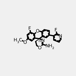 COc1cc(F)c2c(c1)[C@]1(CCOC(N)=N1)c1cc(-c3cccnc3F)ccc1O2